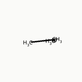 CCCCCCCCCCCCCCCCCCCCCCCCCC[N+](C)(C)[O-]